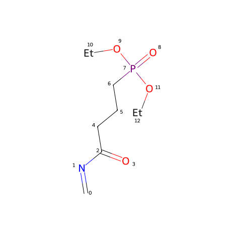 C=NC(=O)CCCP(=O)(OCC)OCC